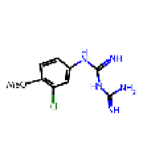 COc1ccc(NC(=N)NC(=N)N)cc1Cl